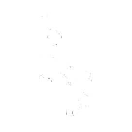 COc1cncc(-c2ccc3[nH]nc(-c4nc5c(-c6ccc(C)s6)nccc5[nH]4)c3n2)c1